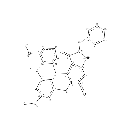 C=C1c2c(cc(=O)n(Cc3cc(OC)cc(OC)c3)c2Cc2cccc(OC)c2)NN1Cc1ccccc1